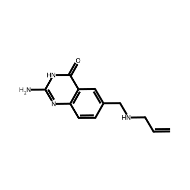 C=CCNCc1ccc2nc(N)[nH]c(=O)c2c1